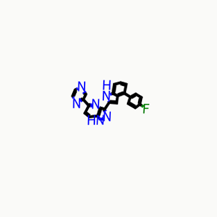 Fc1ccc(-c2cccc3[nH]c(-c4n[nH]c5ccc(-c6cnccn6)nc45)cc23)cc1